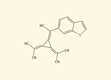 N#CC(C#N)=C1C(=C(C#N)C#N)C1=C(C#N)c1ccc2ccsc2c1